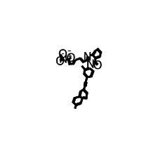 Cc1ccc2cc(C#Cc3ccc(-n4c(/C=C/c5ccc([N+](=O)[O-])o5)nc5ccccc5c4=O)c(C)c3)ccc2c1